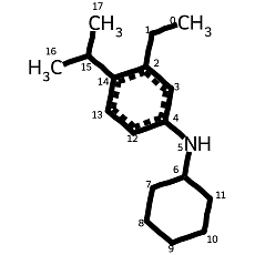 CCc1cc(NC2CCCCC2)ccc1C(C)C